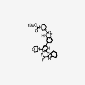 CC(C)(C)OC(=O)N1CCC[C@@H](C(=O)Nc2cc(-c3cc(N4CCOCC4)nc(-n4c(C(F)F)nc5ccccc54)n3)ccc2F)C1